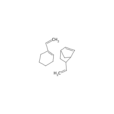 C=CC1=CCCCC1.C=CC1CC2C=CC1C2